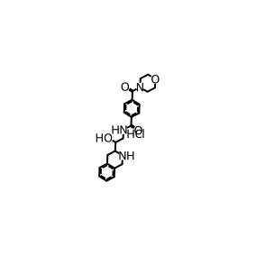 Cl.O=C(NCC(O)C1Cc2ccccc2CN1)c1ccc(C(=O)N2CCOCC2)cc1